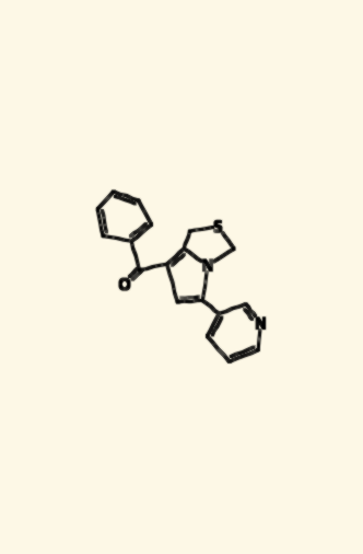 O=C(c1ccccc1)c1cc(-c2cccnc2)n2c1CSC2